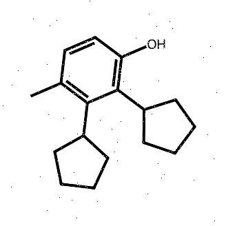 Cc1ccc(O)c(C2CCCC2)c1C1CCCC1